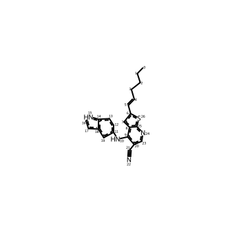 CCCCC=Cc1cc2c(Nc3ccc4[nH]ccc4c3)c(C#N)cnc2s1